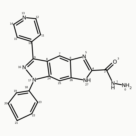 NNC(=O)c1nc2cc3c(-c4ccncc4)nn(-c4ccccc4)c3cc2[nH]1